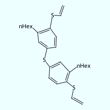 C=CSc1ccc(Sc2ccc(SC=C)c(CCCCCC)c2)cc1CCCCCC